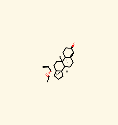 C=CC(=O)[C@]12CC[C@H]3[C@@H](CCC4=CC(=O)CC[C@@]43C)[C@@H]1CC[C@@H]2C(C)=O